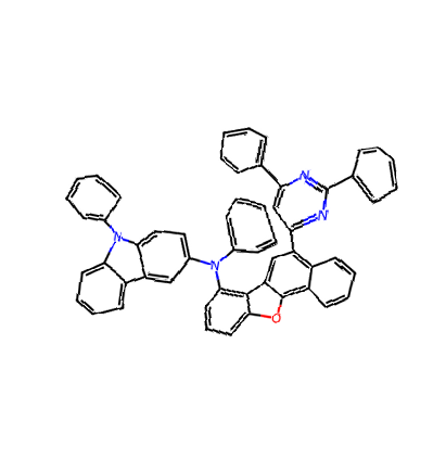 c1ccc(-c2cc(-c3cc4c(oc5cccc(N(c6ccccc6)c6ccc7c(c6)c6ccccc6n7-c6ccccc6)c54)c4ccccc34)nc(-c3ccccc3)n2)cc1